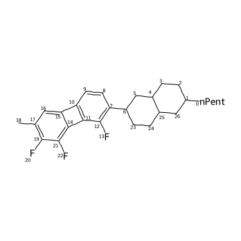 CCCCCC1CCC2CC(c3ccc4c(c3F)-c3c-4cc(C)c(F)c3F)CCC2C1